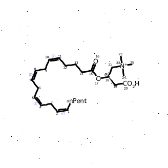 CCCCC/C=C\C/C=C\C/C=C\C/C=C\CCCC(=O)O[C@H](CC(=O)O)C[N+](C)(C)C